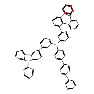 c1ccc(-c2ccc(-c3ccc(N(c4cccc(-c5ccc6c(c5)c5ccccc5n6-c5ccccc5)c4)c4cccc(-c5cccc(-c6ccccc6)c5-c5ccccc5-c5ccccc5)c4)cc3)cc2)cc1